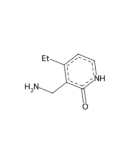 CCc1cc[nH]c(=O)c1CN